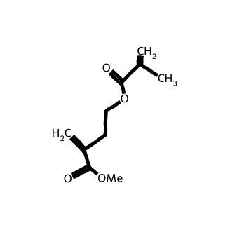 C=C(C)C(=O)OCCC(=C)C(=O)OC